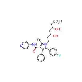 CC(C)c1c(C(=O)Nc2ccncc2)c(-c2ccccc2)c(-c2ccc(F)cc2)n1CC[C@@H](O)C[C@@H](O)CC(=O)O